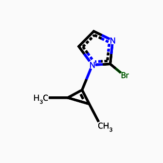 CC1=C(n2ccnc2Br)C1C